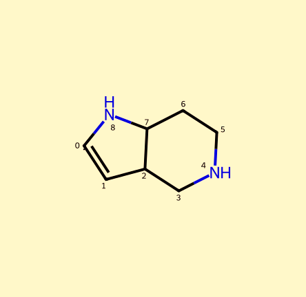 [C]1=CC2CNCCC2N1